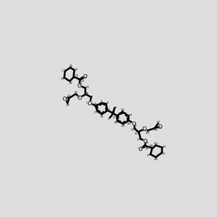 CC(C)(c1ccc(OCC(COC(=O)C2CCCCC2)OCC2CO2)cc1)c1ccc(OCC(COC(=O)C2CCCCC2)OCC2CO2)cc1